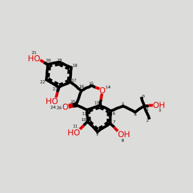 CC(C)(O)CCc1c(O)cc(O)c2c1OCC(c1ccc(O)cc1O)C2=O